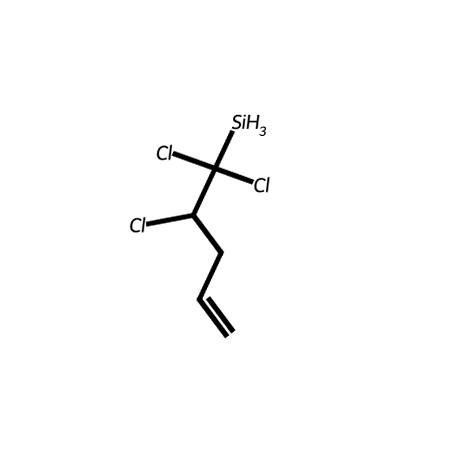 C=CCC(Cl)C([SiH3])(Cl)Cl